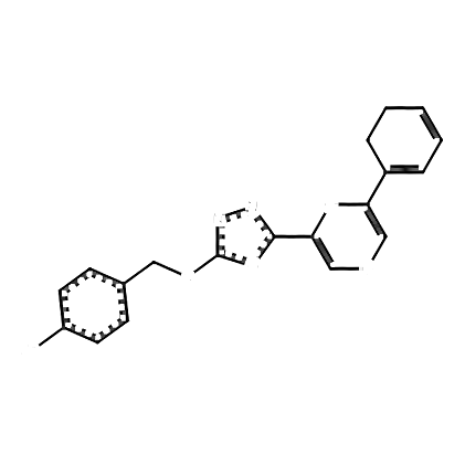 Brc1ccc(CSc2nnc(C3=COC=C(C4=CC=CCC4)O3)o2)cc1